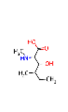 CC[C@@H](C)[C@@H](O)[C@H](NC)C(=O)O